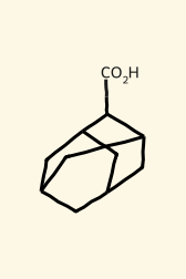 O=C(O)C1C2CC3CC(C2)CC1C3